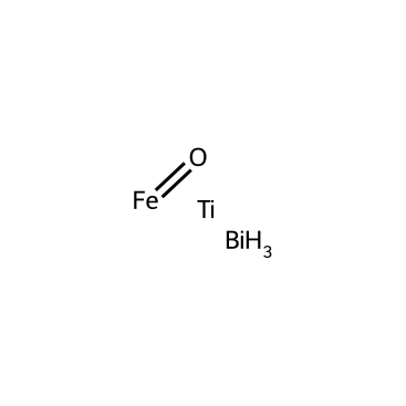 [BiH3].[O]=[Fe].[Ti]